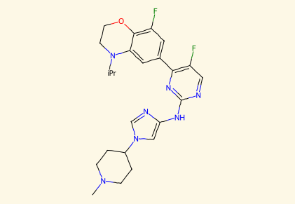 CC(C)N1CCOc2c(F)cc(-c3nc(Nc4cn(C5CCN(C)CC5)cn4)ncc3F)cc21